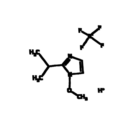 COn1ccnc1C(C)C.F[B-](F)(F)F.[H+]